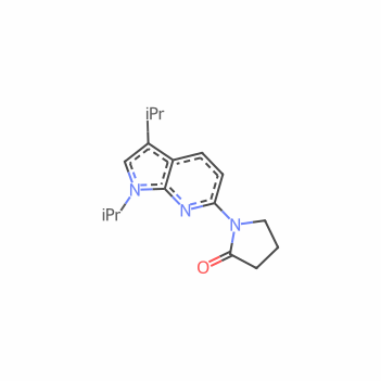 CC(C)c1cn(C(C)C)c2nc(N3CCCC3=O)ccc12